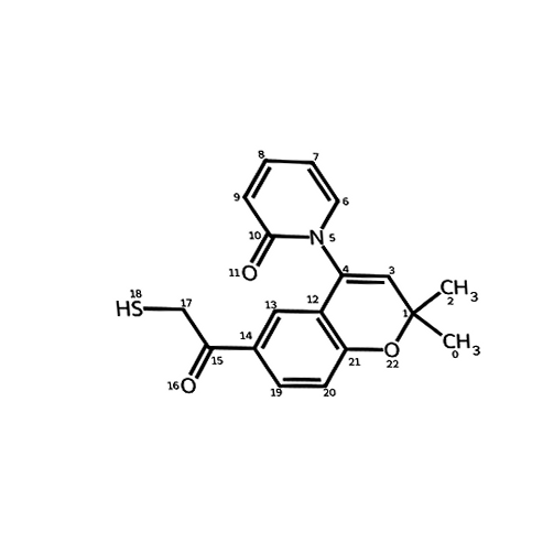 CC1(C)C=C(n2ccccc2=O)c2cc(C(=O)CS)ccc2O1